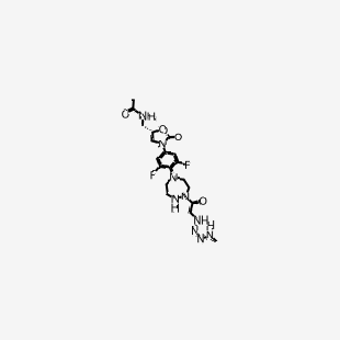 CN/N=N\NCC(=O)N1CCN(c2c(F)cc(N3C[C@H](CNC(C)=O)OC3=O)cc2F)CCN1